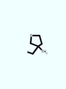 CC1(CI)CCOC1